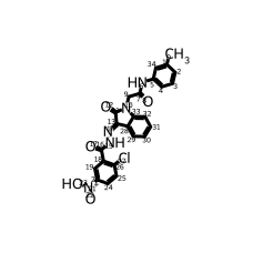 Cc1cccc(NC(=O)CN2C(=O)/C(=N/NC(=O)c3cc([N+](=O)O)ccc3Cl)c3ccccc32)c1